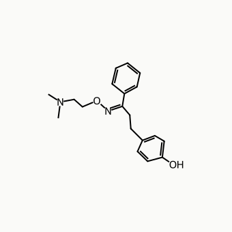 CN(C)CCON=C(CCc1ccc(O)cc1)c1ccccc1